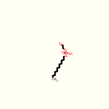 CCCCCCCCCCCCOP(=O)(O)OCC=O